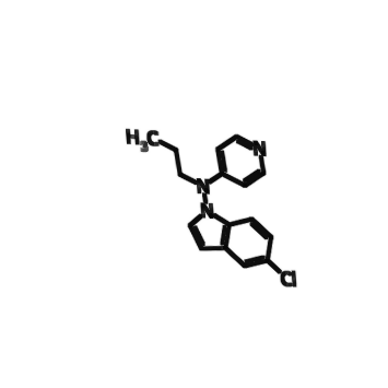 CCCN(c1ccncc1)n1ccc2cc(Cl)ccc21